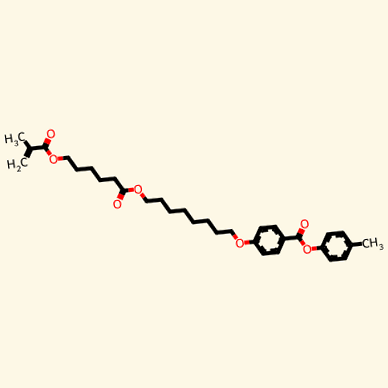 C=C(C)C(=O)OCCCCCC(=O)OCCCCCCCCOc1ccc(C(=O)Oc2ccc(C)cc2)cc1